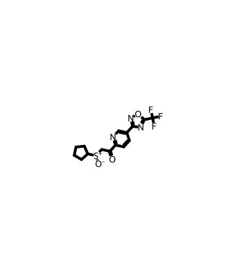 O=C(C[S+]([O-])C1CCCC1)c1ccc(-c2noc(C(F)(F)F)n2)cn1